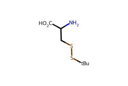 CC(C)(C)SSCC(N)C(=O)O